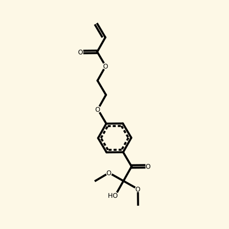 C=CC(=O)OCCOc1ccc(C(=O)C(O)(OC)OC)cc1